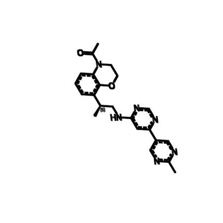 CC(=O)N1CCOc2c([C@H](C)CNc3cc(-c4cnc(C)nc4)ncn3)cccc21